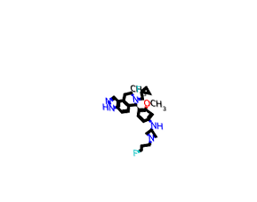 COc1cc(NC2CN(CCCF)C2)ccc1[C@@H]1c2ccc3[nH]ncc3c2C[C@@H](C)N1CC1(F)CC1